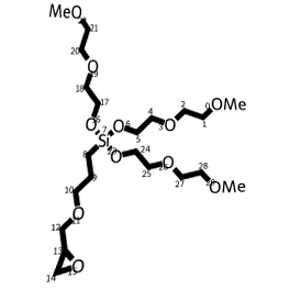 COCCOCCO[Si](CCCOCC1CO1)(OCCOCCOC)OCCOCCOC